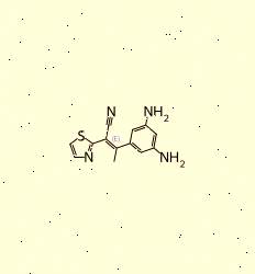 C/C(=C(/C#N)c1nccs1)c1cc(N)cc(N)c1